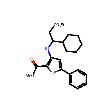 CCOC(=O)CC(Nc1cc(-c2ccccc2)sc1C(=O)OC)C1CCCCC1